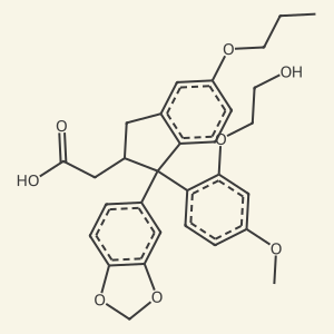 CCCOc1ccc2c(c1)CC(CC(=O)O)C2(c1ccc2c(c1)OCO2)c1ccc(OC)cc1OCCO